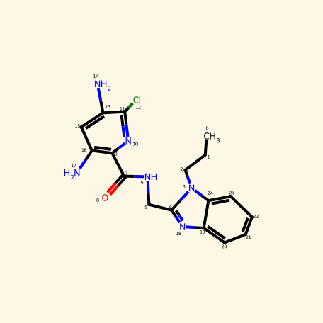 CCCn1c(CNC(=O)c2nc(Cl)c(N)cc2N)nc2ccccc21